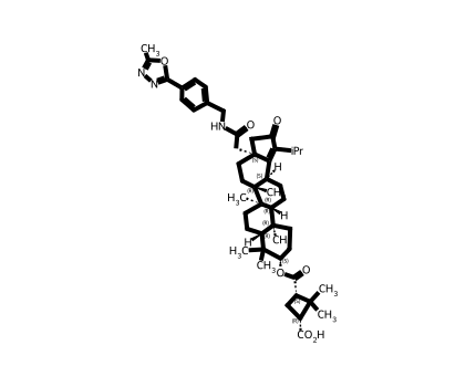 Cc1nnc(-c2ccc(CNC(=O)C[C@@]34CC[C@]5(C)[C@H](CC[C@@H]6[C@@]7(C)CC[C@H](OC(=O)[C@H]8C[C@@H](C(=O)O)C8(C)C)C(C)(C)[C@@H]7CC[C@]65C)C3=C(C(C)C)C(=O)C4)cc2)o1